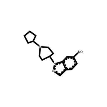 O=Nc1ccc2cnn(C3CCN(C4CCCC4)CC3)c2c1